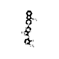 Cc1nccc(Sc2n[nH]c3nc(N4CCC5(CC4)Cc4ccccc4[C@H]5N)cnc23)c1Cl